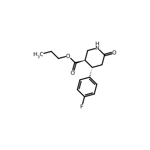 CCCOC(=O)[C@H]1CNC(=O)C[C@@H]1c1ccc(F)cc1